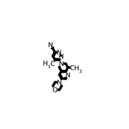 Cc1cc(C#N)nnc1N1Cc2cc(N3CCOCC3)cnc2C(C)C1